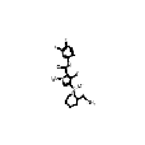 Cn1cc([S+]([O-])N2CCCCC2CN)c(F)c1C(=O)Nc1ccc(F)c(F)c1